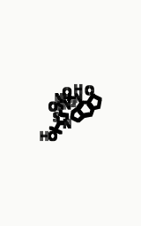 CC(C)(O)c1ncc([S@@](N)(=O)=NC(=O)Nc2c3c(cc4c2C(=O)CC4)CCC3)s1